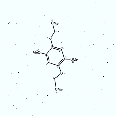 COCOc1cc(OC)c(OCOC)cc1OC